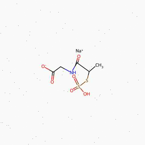 CC(SS(=O)(=O)O)C(=O)NCC(=O)[O-].[Na+]